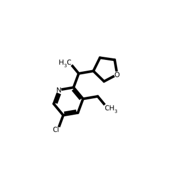 CCc1cc(Cl)cnc1C(C)C1CCOC1